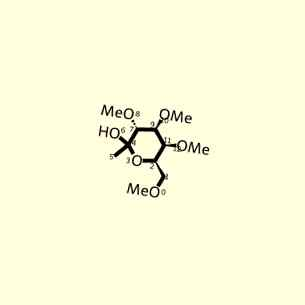 COC[C@H]1OC(C)(O)[C@H](OC)[C@@H](OC)[C@H]1OC